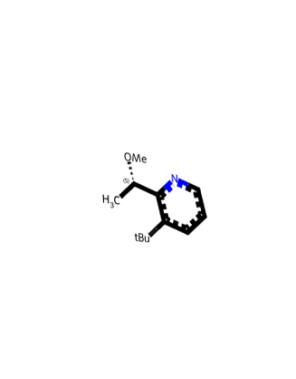 CO[C@@H](C)c1ncccc1C(C)(C)C